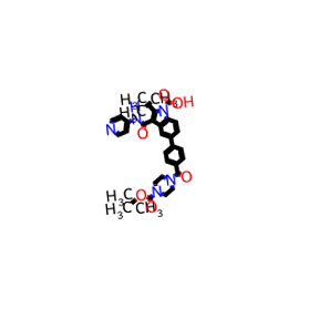 CC(C)(C)OC(=O)N1CCN(C(=O)c2ccc(-c3ccc4c(c3)c(C(=O)Nc3ccncc3)c(C(C)(C)C)n4C(=O)O)cc2)CC1